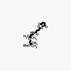 COC(C)(C)CCOC(C)(C)CCNC(=O)CCC(=O)ON1C(=O)CCC1=O